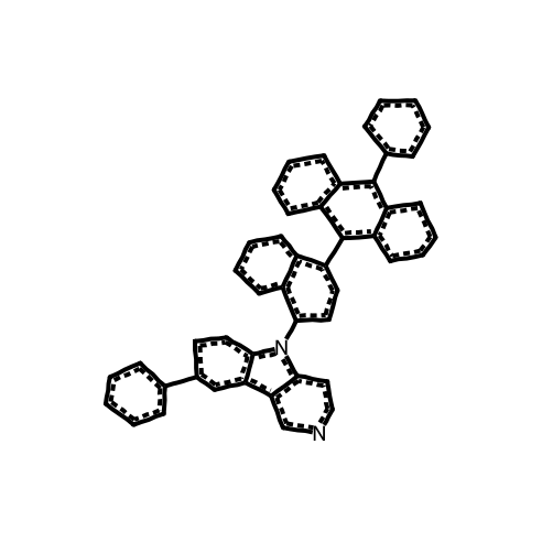 c1ccc(-c2ccc3c(c2)c2cnccc2n3-c2ccc(-c3c4ccccc4c(-c4ccccc4)c4ccccc34)c3ccccc23)cc1